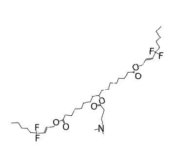 CCCCCC(F)(F)/C=C/COC(=O)CCCCCCCC(CCCCCCCC(=O)OC/C=C/C(F)(F)CCCCC)OC(=O)CCCN(C)C